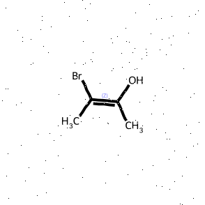 C/C(O)=C(\C)Br